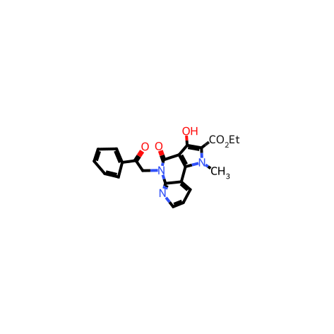 CCOC(=O)c1c(O)c2c(=O)n(CC(=O)c3ccccc3)c3ncccc3c2n1C